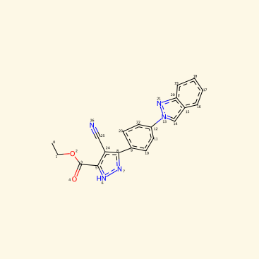 CCOC(=O)c1[nH]nc(-c2ccc(-n3cc4ccccc4n3)cc2)c1C#N